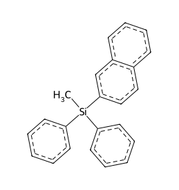 C[Si](c1ccccc1)(c1ccccc1)c1ccc2ccccc2c1